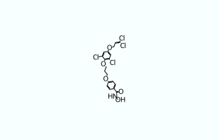 O=C(NO)c1ccc(OCCCOc2c(Cl)cc(OCC=C(Cl)Cl)cc2Cl)cc1